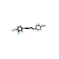 CCCC1CCC(C=CC#Cc2ccc(Br)c(F)c2)CC1